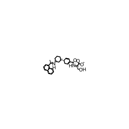 COC(=O)[C@@H](CO)NC(=O)C1=CCC([C@H]2CCC[C@H](N[C@H](C)c3cccc4ccccc34)C2)C=C1